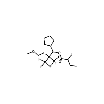 CCC(I)C(=O)OC(C1CCCC1)C(OCOC)(C(F)(F)F)C(F)(F)F